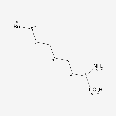 CCC(C)SCCCCCC(N)C(=O)O